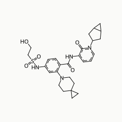 O=C(Nc1cccn(C2CC3CC3C2)c1=O)c1ccc(NS(=O)(=O)CCO)cc1N1CCC2(CC1)CC2